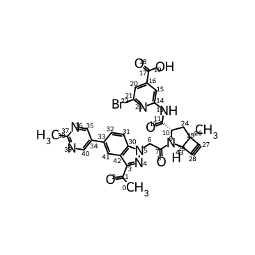 CC(=O)c1nn(CC(=O)N2[C@H](C(=O)Nc3cc(C(=O)O)cc(Br)n3)C[C@@]3(C)C#C[C@@H]23)c2ccc(-c3cnc(C)nc3)cc12